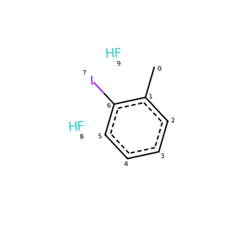 Cc1ccccc1I.F.F